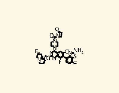 Nc1nc2c(-c3c(Cl)cc4c(N5CCN(C(=O)N6CCC6=O)CC5)nc(OC[C@@]56CCCN5C[C@H](F)C6)nc4c3F)ccc(F)c2s1